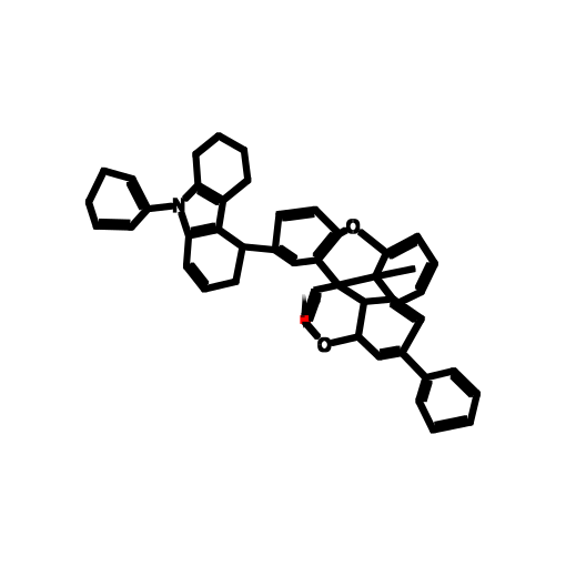 CC12CC=CC=C1Oc1ccc(C3CC=Cc4c3c3c(n4C4=CCCC=C4)CCCC3)cc1C21c2ccccc2OC2C=C(c3ccccc3)C=CC21